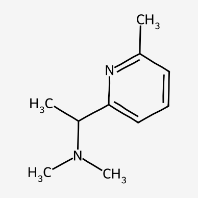 Cc1cccc(C(C)N(C)C)n1